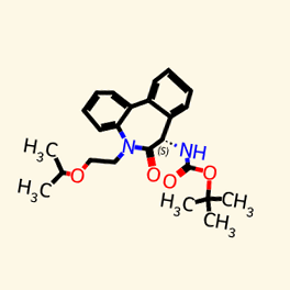 CC(C)OCCN1C(=O)[C@@H](NC(=O)OC(C)(C)C)c2ccccc2-c2ccccc21